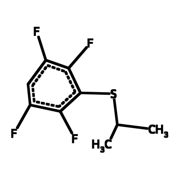 CC(C)Sc1c(F)c(F)cc(F)c1F